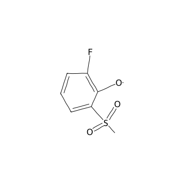 CS(=O)(=O)c1cccc(F)c1[O]